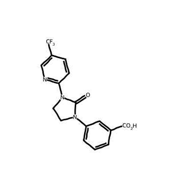 O=C(O)c1cccc(N2CCN(c3ccc(C(F)(F)F)cn3)C2=O)c1